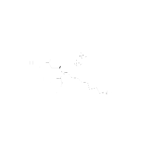 CCCCCCCCCCCCCCCCCCN(C(=O)CC(C(=O)O)S(=O)(=O)O)C(CC(=O)O)C(=O)O.[Na].[Na].[Na].[Na]